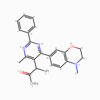 CCCC(C(=O)OC)c1c(C)nc(-c2ccccc2)nc1-c1ccc2c(c1)OCCN2C